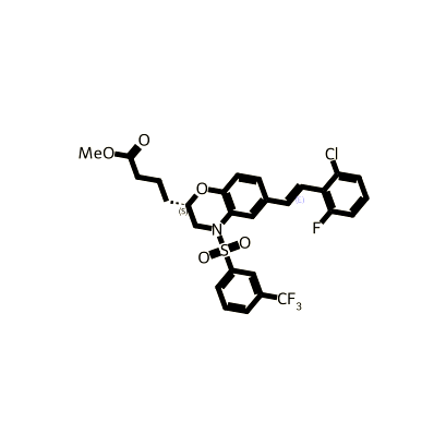 COC(=O)CCC[C@H]1CN(S(=O)(=O)c2cccc(C(F)(F)F)c2)c2cc(/C=C/c3c(F)cccc3Cl)ccc2O1